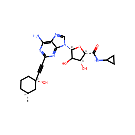 C[C@@H]1CCC[C@@](O)(C#Cc2nc(N)c3ncn([C@@H]4O[C@H](C(=O)NC5CC5)[C@H](O)C4O)c3n2)C1